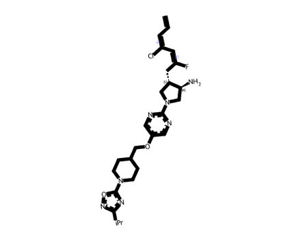 C=C/C=C(Cl)\C=C(\F)C[C@H]1CN(c2ncc(OCC3CCN(c4nc(C(C)C)no4)CC3)cn2)C[C@@H]1N